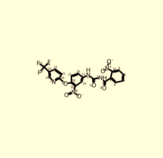 O=C(NC(=O)c1ccccc1[N+](=O)[O-])Nc1ccc(Oc2ccc(C(F)(F)F)cn2)c([N+](=O)[O-])c1